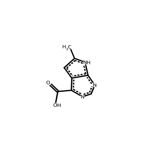 Cc1cc2c(C(=O)O)ncnc2[nH]1